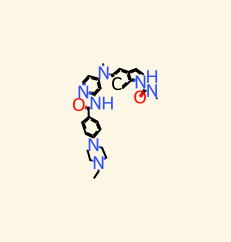 CCN1CCN(c2ccc(C(=O)Nc3cc(N(C)c4ccc5c(ccn5C(=O)NC)c4)ccn3)cc2)CC1